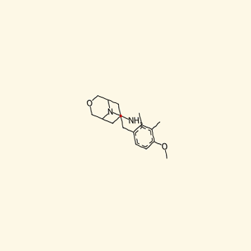 COc1ccc(CCN2C3COCC2CC(N)C3)c(C)c1C